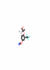 CC1(Oc2ccc(OC#N)cc2C(F)(F)F)COC1